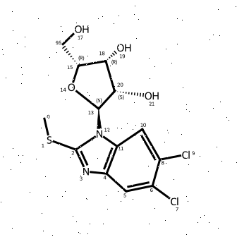 CSc1nc2cc(Cl)c(Cl)cc2n1[C@H]1O[C@H](CO)[C@H](O)[C@@H]1O